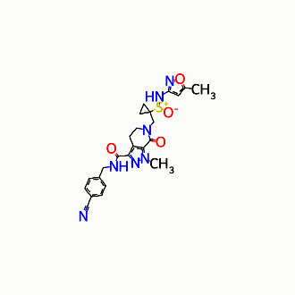 Cc1cc(N[S+]([O-])C2(CN3CCc4c(C(=O)NCc5ccc(C#N)cc5)nn(C)c4C3=O)CC2)no1